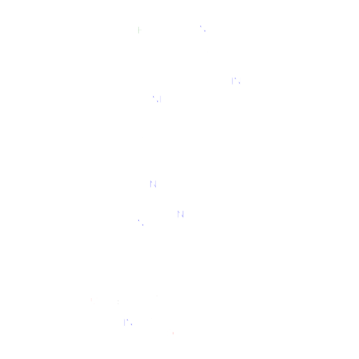 O=C1NC(=O)/C(=C/c2ccnc(N3CCC(CNCc4cc(-c5ccc[nH]5)ncc4F)CC3)n2)S1